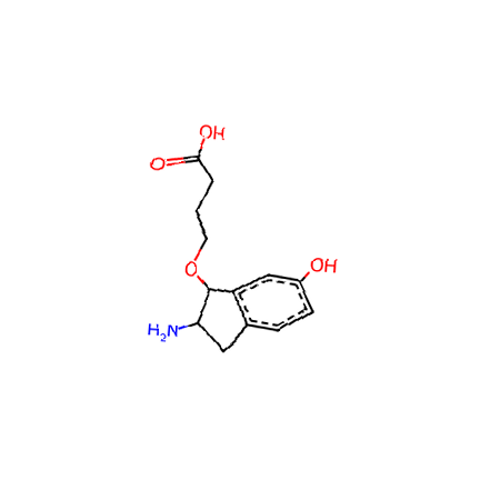 NC1Cc2ccc(O)cc2C1OCCCC(=O)O